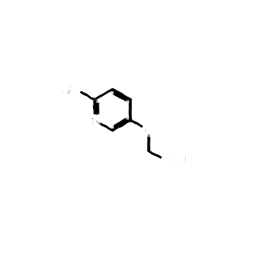 CCCc1ccc(OCC(=O)O)cn1